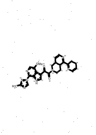 COc1cnc(-n2cnc(C)n2)c2[nH]cc(C(=O)C(=O)N3CCC4C(C5=NC=CCC5)=NC=CC4C3)c12